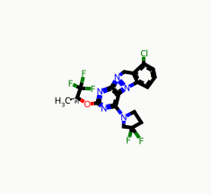 C[C@@H](Oc1nc(N2CCC(F)(F)C2)c2c(n1)n1n2-c2cccc(Cl)c2C1)C(F)(F)F